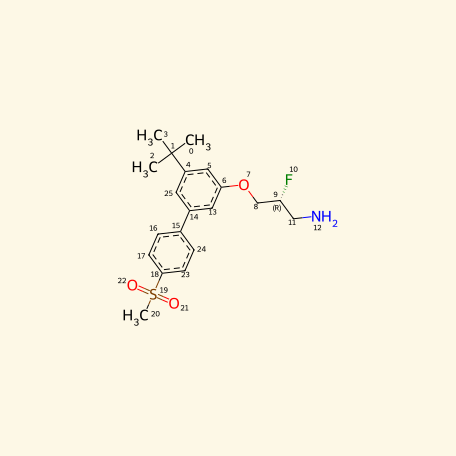 CC(C)(C)c1cc(OC[C@H](F)CN)cc(-c2ccc(S(C)(=O)=O)cc2)c1